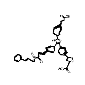 O=C(O)/C=C/c1ccc(-c2nc(-c3ccc(C4=NOC(C(=O)O)C4)cc3)c(-c3ccc(/C=C/C(=O)NCCCc4ccccc4)cc3)[nH]2)cc1